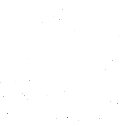 CC1(C)c2ccccc2C2(c3ccccc3-c3cc(-c4cccc(-c5ccc(-c6ccccn6)cc5)c4)ccc32)c2ccccc21